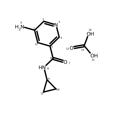 Nc1cncc(C(=O)NC2CC2)c1.O=C(O)O